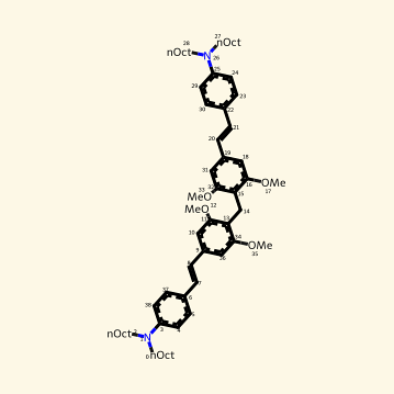 CCCCCCCCN(CCCCCCCC)c1ccc(/C=C/c2cc(OC)c(Cc3c(OC)cc(/C=C/c4ccc(N(CCCCCCCC)CCCCCCCC)cc4)cc3OC)c(OC)c2)cc1